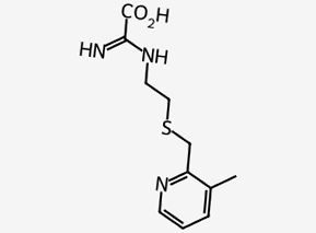 Cc1cccnc1CSCCNC(=N)C(=O)O